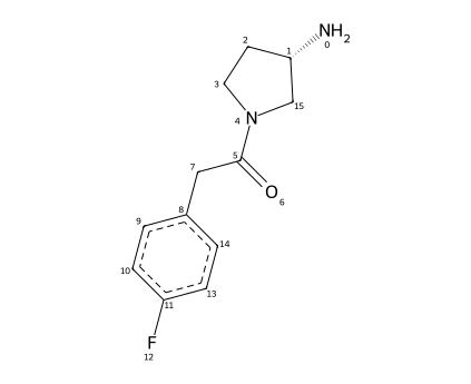 N[C@H]1CCN(C(=O)Cc2ccc(F)cc2)C1